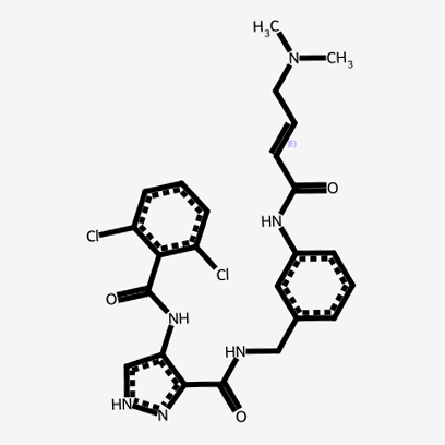 CN(C)C/C=C/C(=O)Nc1cccc(CNC(=O)c2n[nH]cc2NC(=O)c2c(Cl)cccc2Cl)c1